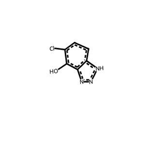 Oc1c(Cl)ccc2[nH]nnc12